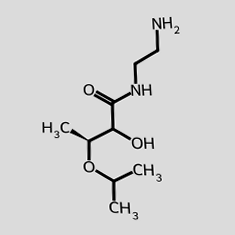 CC(C)O[C@@H](C)C(O)C(=O)NCCN